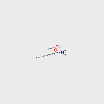 CCCCC(=O)O.CCCCCCCCCCCCCCN(CCC)CCC